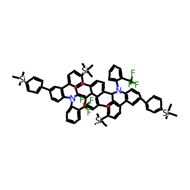 C[Si](C)(C)c1ccc(-c2ccc(N(C3=C4C=CC5=C6C(=CC=C(C=C3)C46)C(N(c3ccc(-c4ccc([Si](C)(C)C)cc4)cc3-c3ccc([Si](C)(C)C)cc3)c3ccccc3C(F)(F)F)C=C5)c3ccccc3C(F)(F)F)c(-c3ccc([Si](C)(C)C)cc3)c2)cc1